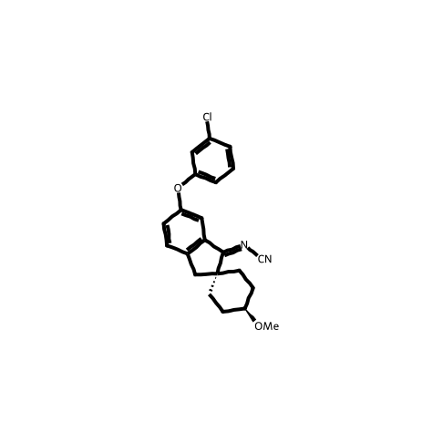 CO[C@H]1CC[C@]2(CC1)Cc1ccc(Oc3cccc(Cl)c3)cc1/C2=N/C#N